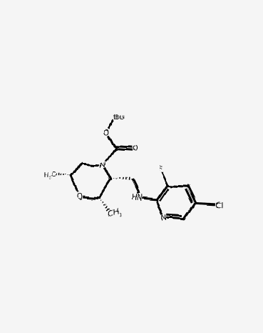 C[C@@H]1CN(C(=O)OC(C)(C)C)[C@H](CNc2ncc(Cl)cc2F)[C@H](C)O1